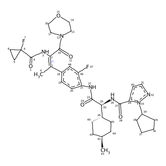 C/C(=C(\NC(=O)C1(F)CC1)C(=O)N1CCOCC1)c1ccc(NC(=O)[C@@H](NC(=O)c2ccnn2C2CCCC2)[C@H]2CC[C@H](C)CC2)c(F)c1